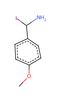 COc1ccc(C(N)I)cc1